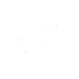 C/C=C1\CC(C)([C@@H](C)/C(Cl)=C\C)CN(CC)\C1=C\C